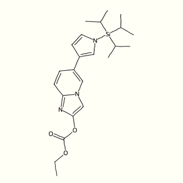 CCOC(=O)Oc1cn2cc(-c3ccn([Si](C(C)C)(C(C)C)C(C)C)c3)ccc2n1